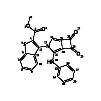 COC(=O)c1sc2ccccc2c1-n1cc2c(=O)c(=O)c2c1Nc1ccccc1